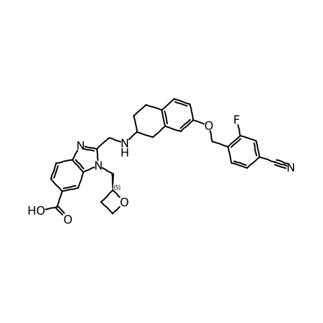 N#Cc1ccc(COc2ccc3c(c2)CC(NCc2nc4ccc(C(=O)O)cc4n2C[C@@H]2CCO2)CC3)c(F)c1